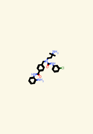 CC(C)(N)CCN(Cc1ccc(C(=O)Nc2ccccc2N)cc1)C(=O)Nc1cccc(Cl)c1